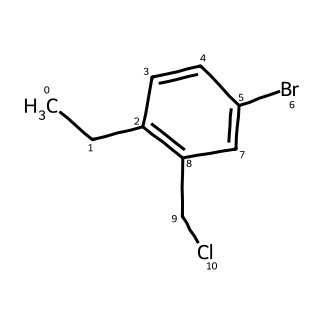 CCc1ccc(Br)cc1CCl